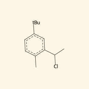 Cc1ccc(C(C)(C)C)cc1C(C)Cl